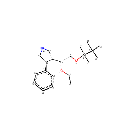 CCO[C@@H](CO[Si](C)(C)C(C)(C)C)[C@H]1CNC[C@@H]1c1ccccc1